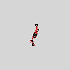 CC(CC(=O)Oc1ccccc1)OCOc1ccc2ccc3c(OC(=O)CC(C)OCOc4ccccc4)ccc4ccc1c2c43